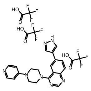 O=C(O)C(F)(F)F.O=C(O)C(F)(F)F.O=C(O)C(F)(F)F.c1cc(N2CCN(c3ncnc4ccc(-c5cn[nH]c5)cc34)CC2)ccn1